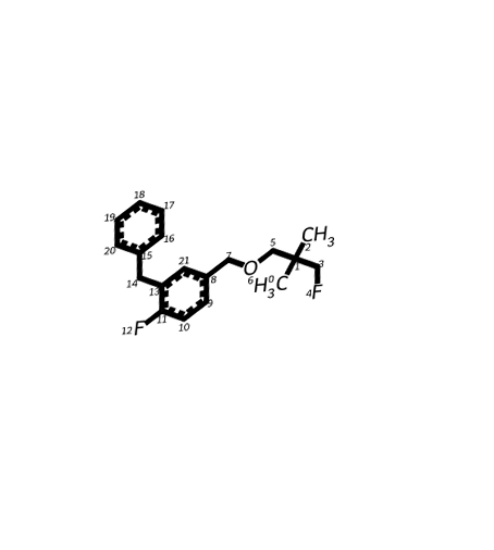 CC(C)(CF)COCc1ccc(F)c(Cc2ccccc2)c1